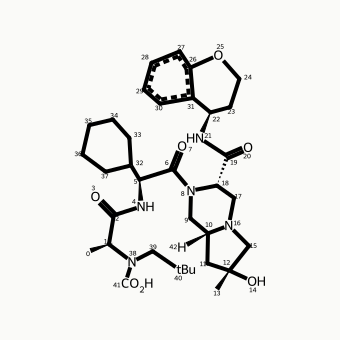 C[C@@H](C(=O)N[C@H](C(=O)N1C[C@H]2C[C@@](C)(O)CN2C[C@H]1C(=O)N[C@@H]1CCOc2ccccc21)C1CCCCC1)N(CC(C)(C)C)C(=O)O